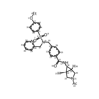 CCOc1ccc(S(=O)(=O)N(Cc2ccc(C(=O)N[C@H]3[C@@H]4CN(C(C)=O)C[C@@H]43)cc2)Cc2ccccn2)cc1